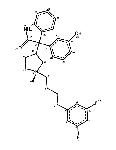 C[N@@+]1(CCCSc2cc(F)cc(F)c2)CCC(C(C(N)=O)(c2ccccc2)c2cccc(O)c2)C1